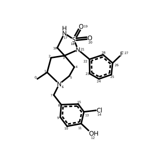 CC1CC2(CCN1Cc1ccc(O)c(Cl)c1)CNS(=O)(=O)N2c1cccc(F)c1